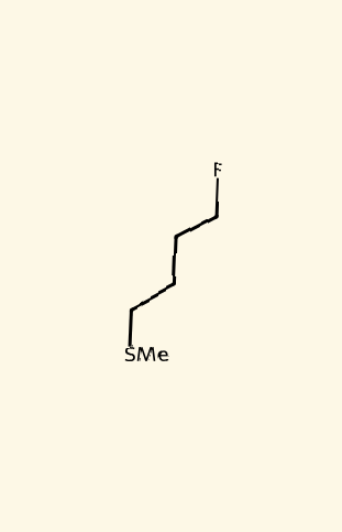 CSCCCCF